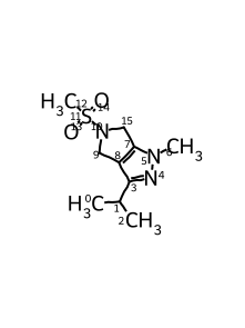 CC(C)c1nn(C)c2c1CN(S(C)(=O)=O)C2